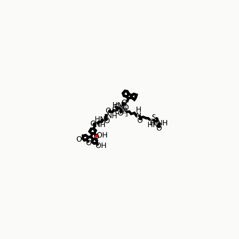 CC(C)(SCC(=O)NCC(=O)NCCNC(=O)c1ccc(-c2c3ccc(=O)cc-3oc3cc(O)ccc23)c(C(=O)O)c1)[C@H](NC(=O)OCC1c2ccccc2-c2ccccc21)C(=O)NCCCCCNC(=O)CCCC[C@@H]1SCC2NC(=O)N[C@@H]21